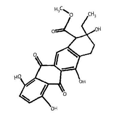 CCC1(O)CCc2c(cc3c(c2O)C(=O)c2c(O)ccc(O)c2C3=O)C1C(=O)OC